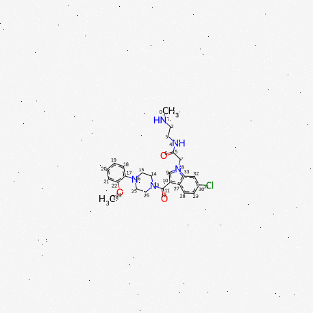 CNCCNC(=O)Cn1cc(C(=O)N2CCN(c3ccccc3OC)CC2)c2ccc(Cl)cc21